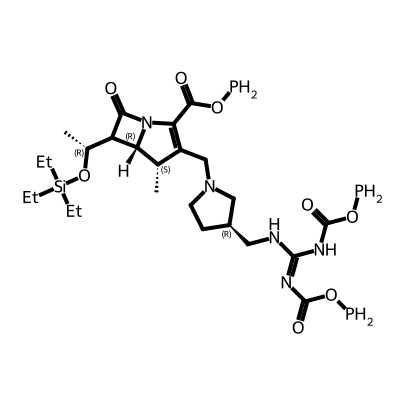 CC[Si](CC)(CC)O[C@H](C)C1C(=O)N2C(C(=O)OP)=C(CN3CC[C@H](CNC(=NC(=O)OP)NC(=O)OP)C3)[C@H](C)[C@H]12